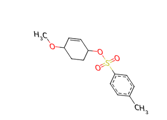 COC1C=CC(OS(=O)(=O)c2ccc(C)cc2)CC1